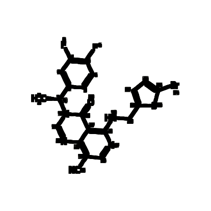 C[C@@H](c1ccc(F)c(F)c1)n1cnc2c(C#N)cnc(NCc3ccc(Br)s3)c2c1=O